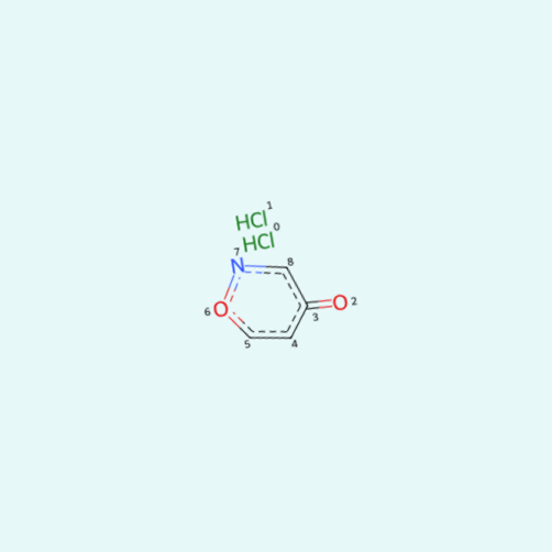 Cl.Cl.O=c1cconc1